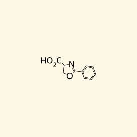 O=C(O)C1COC(c2ccccc2)=N1